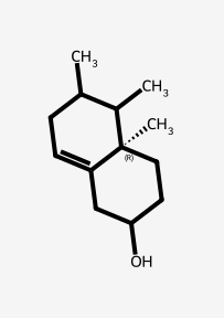 CC1CC=C2CC(O)CC[C@]2(C)C1C